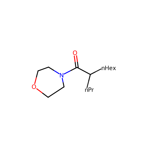 CCCCCCC(CCC)C(=O)N1CCOCC1